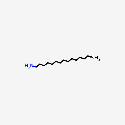 NCCCCCCCCCCCCCC[SiH3]